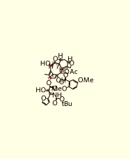 COc1ccc(OC)c(C(=O)O[C@H]2[C@@H]3[C@]4(OC(C)=O)CO[C@@H]4C[C@H]4O[C@@H]([C@H](O)C5=C(C)[C@@H](OC(=O)[C@H](O)[C@@H](NC(=O)OC(C)(C)C)c6ccco6)C[C@]2(O)C5(C)C)[C@@]34C)c1